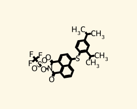 CC(C)c1ccc(Sc2ccc3c4c(cccc24)C(=O)N(OS(=O)(=O)C(F)(F)F)C3=O)c(C(C)C)c1